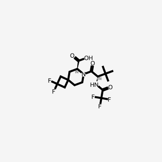 CC(C)(C)[C@H](NC(=O)C(F)(F)F)C(=O)N1CCC2(C[C@H]1C(=O)O)CC(F)(F)C2